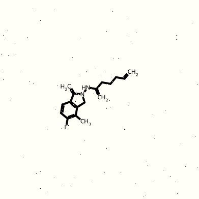 C=CCCCC(=C)NN1Cc2c(ccc(F)c2C)C1=C